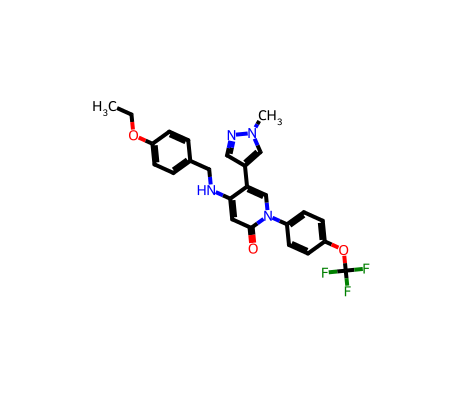 CCOc1ccc(CNc2cc(=O)n(-c3ccc(OC(F)(F)F)cc3)cc2-c2cnn(C)c2)cc1